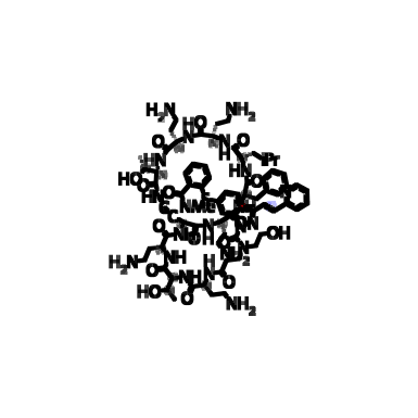 CNC(=O)c1ccccc1Sc1ccc2c(/C=C/c3ccccn3)nn(C(=O)N(CCO)CCC(=O)N[C@@H](CCN)C(=O)N[C@H](C(=O)N[C@@H](CCN)C(=O)N[C@H]3CCNC(=O)[C@H]([C@@H](C)O)NC(=O)[C@H](CCN)NC(=O)[C@H](CCN)NC(=O)[C@H](CC(C)C)NC(=O)[C@@H](Cc4ccccc4)NC(=O)[C@H](CCN)NC3=O)[C@@H](C)O)c2c1